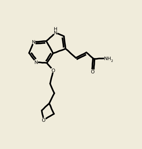 NC(=O)C=Cc1c[nH]c2ncnc(OCCC3COC3)c12